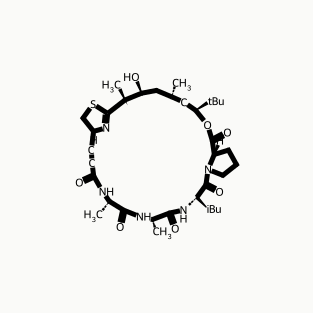 CC[C@H](C)[C@@H]1NC(=O)[C@H](C)NC(=O)[C@H](C)NC(=O)CC[C@@H]2CSC(=N2)[C@@H](C)[C@@H](O)C[C@H](C)C[C@@H](C(C)(C)C)OC(=O)[C@@H]2CCCN2C1=O